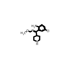 COC/N=C(/c1cc(Cl)ccc1N)C1CCNCC1